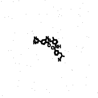 Cc1ccc(NC(=O)c2cccc(CC(C)C#N)c2)cc1-n1cnc2cc(-c3cncnc3)ccc2c1=O